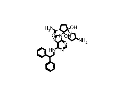 NC(=O)[C@@H]1C[CH][C@](O)(N2CCC(N)C2)[C@]1(O)n1cnc2c(NCC(c3ccccc3)c3ccccc3)ncnc21